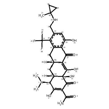 CN(C)[C@@H]1C(O)=C(C(N)=O)C(=O)[C@@]2(O)C(O)=C3C(=O)c4c(O)cc(CNC5(C)CC5)c(C(F)(F)F)c4C[C@H]3C[C@@H]12